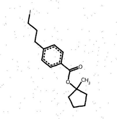 CC1(OC(=O)c2ccc(CCCI)cc2)CCCC1